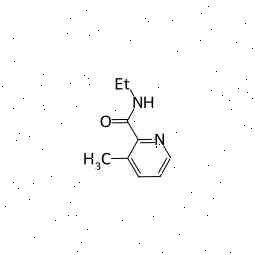 CCNC(=O)c1ncccc1C